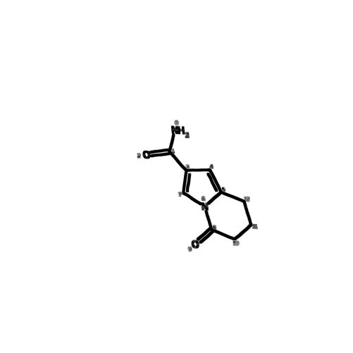 NC(=O)c1cc2n(c1)C(=O)CCC2